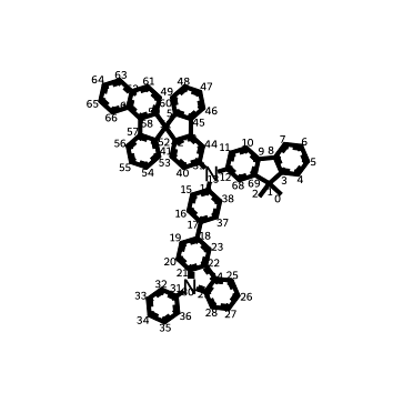 CC1(C)c2ccccc2-c2ccc(N(c3ccc(-c4ccc5c(c4)c4ccccc4n5-c4ccccc4)cc3)c3ccc4c(c3)-c3ccccc3C43c4ccccc4-c4c3ccc3ccccc43)cc21